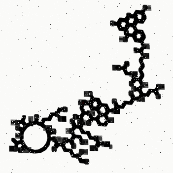 CC(O)C1NC(=O)C(CCCN(O)C=O)NC(=O)C(NC(=O)C(CCCN(O)C=O)NC(=O)C(CO)NC(=O)C(CCCNC(=N)N)NC(=O)C(CO)NC(=O)C2CCNC3C(NC(=O)CCCC(=O)NC(CCC(=O)O)C(=O)NC(CCCCNC(=S)Nc4ccc(-c5c6ccc(=O)cc-6oc6cc(O)ccc56)c(C(=O)O)c4)C(=O)NCC(=O)O)=Cc4cc(O)c(O)cc4N23)CCCCNC(=O)C(C(C)O)NC1=O